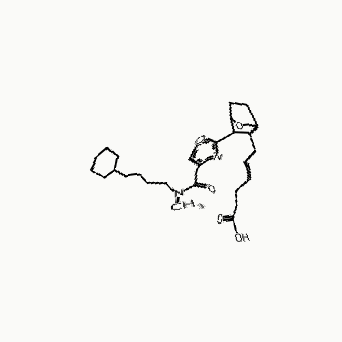 CN(CCCCC1CCCCC1)C(=O)c1coc(C2C3CCC(O3)C2CC=CCCC(=O)O)n1